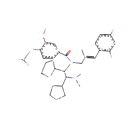 COc1cc(C(=O)N(C/C(C)=C/c2ccc(F)cc2F)C(C2CCCN2)C(C2CCCC2)N(C)C)ccc1OC(F)F